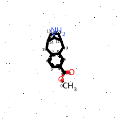 COC(=O)c1ccc2c(c1)CC1CCC(C2)C1N